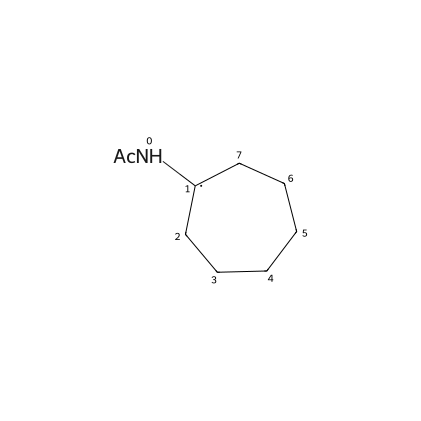 CC(=O)N[C]1CCCCCC1